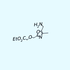 CCOC(=O)COCc1nc(C)c(CN)o1